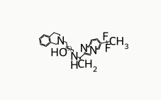 C=C(NC[C@H](O)CN1CCc2ccccc2C1)c1cn2cc(C(C)(F)F)ccc2n1